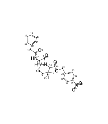 CC1(Cl)CS[C@H]2C(NC(=O)Cc3ccccc3)C(=O)N2C1C(=O)OCc1ccc([N+](=O)[O-])cc1